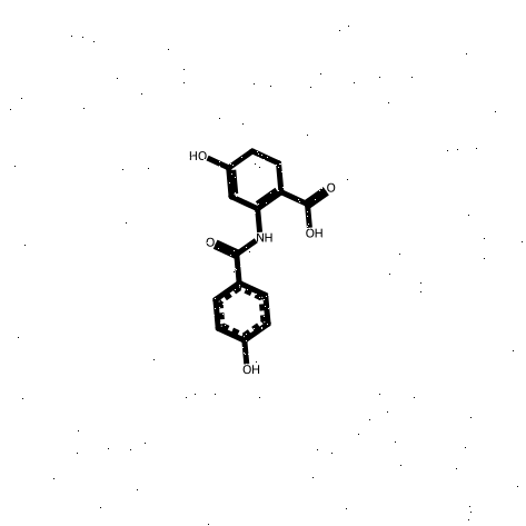 O=C(O)C1=C(NC(=O)c2ccc(O)cc2)C=C(O)CC1